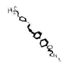 CCCO[C@H]1CC[C@H](c2ccc(C#CC=C[C@H]3CC[C@H](CCC)CC3)cc2)CC1